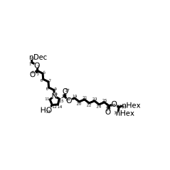 CCCCCCCCCCCOC(=O)CCCCCN1CC(O)C[C@H]1C(=O)OCCCCCCCC(=O)OC(CCCCCC)CCCCCC